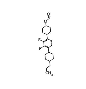 CCCC1CCC(c2ccc(C3CCC(OC=O)CC3)c(F)c2F)CC1